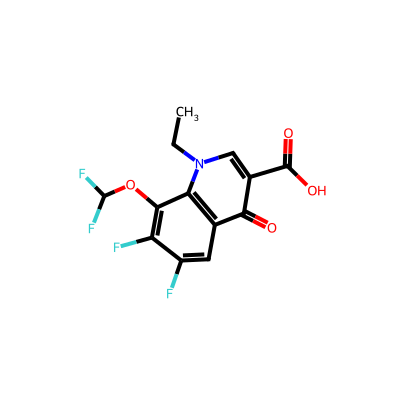 CCn1cc(C(=O)O)c(=O)c2cc(F)c(F)c(OC(F)F)c21